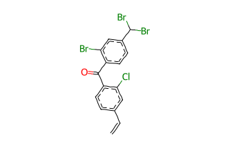 C=Cc1ccc(C(=O)c2ccc(C(Br)Br)cc2Br)c(Cl)c1